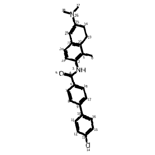 Cc1c(NC(=O)c2ccc(-c3ccc(Cl)cc3)cc2)ccc2c1CCC(N(C)C)=C2